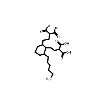 CCCCCCC1CCCC(CCC(C(=O)O)C(=O)O)C1CCC(C(=O)O)C(=O)O